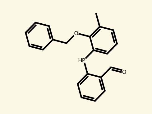 Cc1cccc(Pc2ccccc2C=O)c1OCc1ccccc1